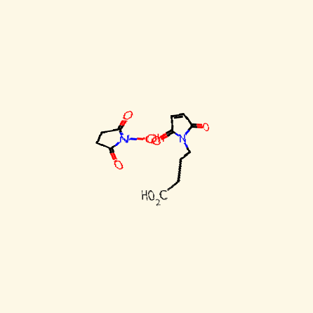 O=C(O)CCCN1C(=O)C=CC1=O.O=C1CCC(=O)N1O